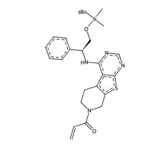 C=CC(=O)N1CCc2c(sc3ncnc(N[C@H](CO[Si](C)(C)C(C)(C)C)c4ccccc4)c23)C1